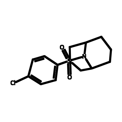 O=S(=O)(c1ccc(Cl)cc1)N1C2CCCC1CSC2